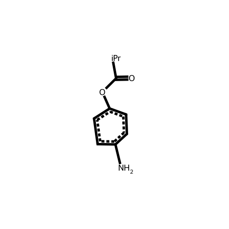 CC(C)C(=O)Oc1ccc(N)cc1